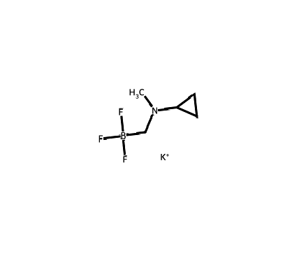 CN(C[B-](F)(F)F)C1CC1.[K+]